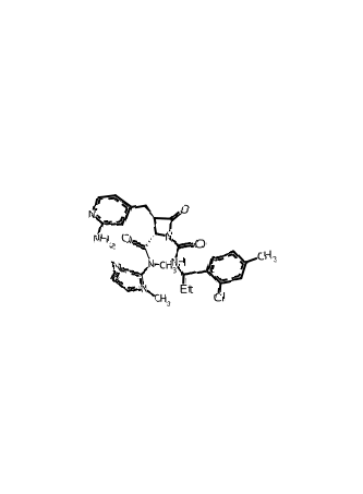 CCC(NC(=O)N1C(=O)[C@H](Cc2ccnc(N)c2)[C@H]1C(=O)N(C)c1nccn1C)c1ccc(C)cc1Cl